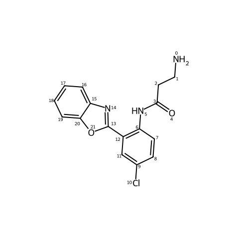 NCCC(=O)Nc1ccc(Cl)cc1-c1nc2ccccc2o1